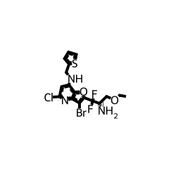 CCOC[C@H](N)C(F)(F)c1oc2c(NCc3cccs3)cc(Cl)nc2c1Br